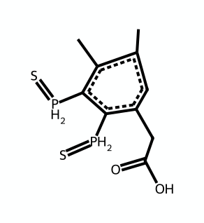 Cc1cc(CC(=O)O)c([PH2]=S)c([PH2]=S)c1C